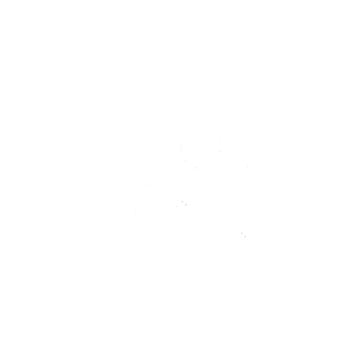 CCOC(=O)c1[nH]c(CC[N+](=O)[O-])c(C(=O)c2cccc(Br)c2)c1C